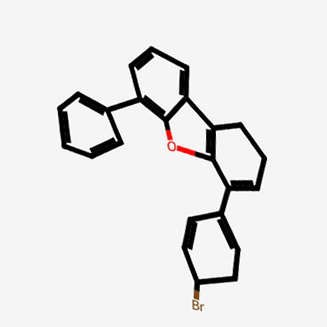 BrC1C=CC(C2=CCCc3c2oc2c(-c4ccccc4)cccc32)=CC1